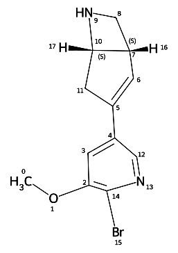 COc1cc(C2=C[C@H]3CN[C@H]3C2)cnc1Br